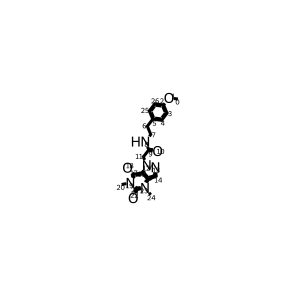 COc1ccc(CCNC(=O)Cn2ncc3c2c(=O)n(C)c(=O)n3C)cc1